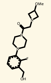 COC1CN(CC(=O)N2CCN(c3cccc(CO)c3F)CC2)C1